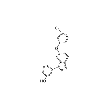 Oc1cccc(-c2cnc3ccc(Oc4cccc(Cl)c4)nn23)c1